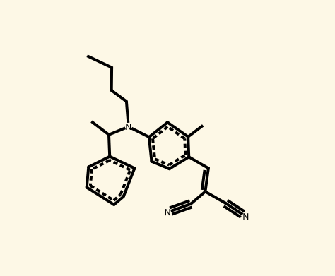 CCCCN(c1ccc(C=C(C#N)C#N)c(C)c1)C(C)c1ccccc1